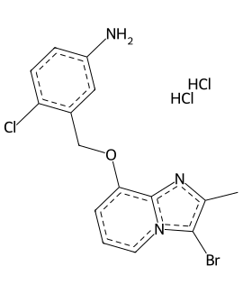 Cc1nc2c(OCc3cc(N)ccc3Cl)cccn2c1Br.Cl.Cl